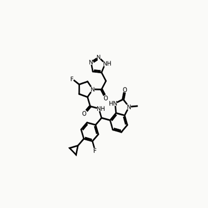 Cn1c(=O)[nH]c2c(C(NC(=O)C3CC(F)CN3C(=O)Cc3cnn[nH]3)c3ccc(C4CC4)c(F)c3)cccc21